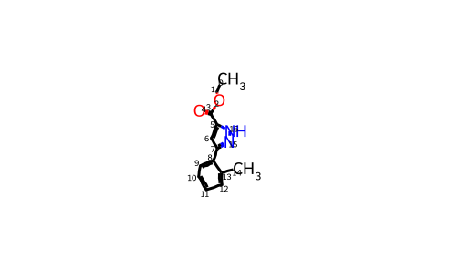 CCOC(=O)c1cc(-c2ccccc2C)n[nH]1